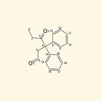 CCC(=O)C(CC=O)(c1ccccc1)c1ccccc1